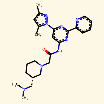 Cc1cc(C)n(-c2cc(NC(=O)CN3CCC[C@@H](CN(C)C)C3)nc(-c3ccccn3)n2)n1